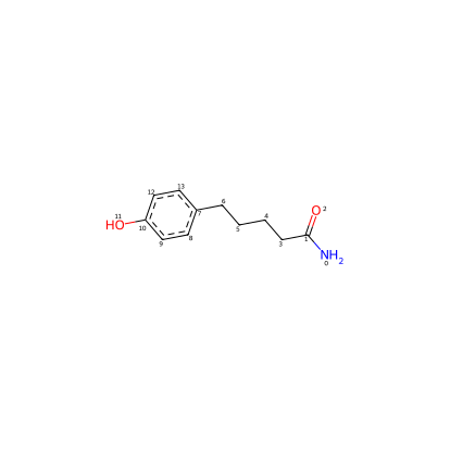 NC(=O)CCCCc1ccc(O)cc1